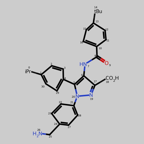 CC(C)c1ccc(-c2c(NC(=O)c3ccc(C(C)(C)C)cc3)c(C(=O)O)nn2-c2ccc(CN)cc2)cc1